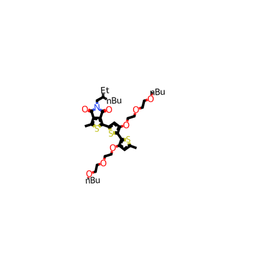 CCCCOCCOCCOc1cc(C)sc1-c1sc(-c2sc(C)c3c2C(=O)N(CC(CC)CCCC)C3=O)cc1OCCOCCOCCCC